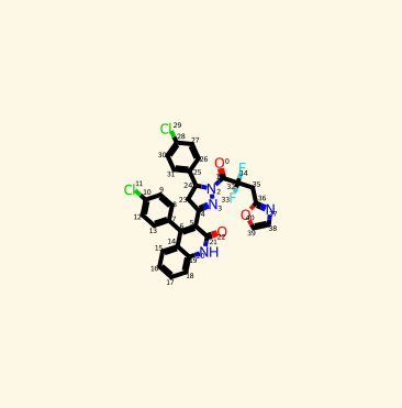 O=C(N1N=C(c2c(-c3ccc(Cl)cc3)c3ccccc3[nH]c2=O)CC1c1ccc(Cl)cc1)C(F)(F)Cc1ncco1